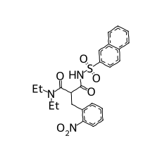 CCN(CC)C(=O)C(Cc1ccccc1[N+](=O)[O-])C(=O)NS(=O)(=O)c1ccc2ccccc2c1